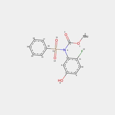 CC(C)(C)OC(=O)N(c1cc(O)ccc1F)S(=O)(=O)c1ccccc1